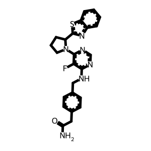 NC(=O)Cc1ccc(CNc2ncnc(N3CCCC3c3nc4ccccc4s3)c2F)cc1